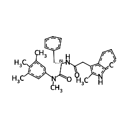 Cc1cc(N(C)C(=O)[C@H](Cc2ccccc2)NC(=O)Cc2c(C)[nH]c3ccccc23)cc(C)c1C